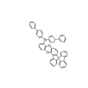 C1=CC(c2ccccc2)CC=C1N(c1ccc(-c2ccccc2)cc1)c1cccc2c1Oc1ccc3c(c1O2)-c1ccccc1C31c2ccccc2-c2ccccc21